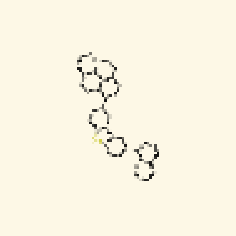 c1ccc2c(-c3ccc4sc5ccc(-c6ccc7ccc8cccc9ccc6c7c89)cc5c4c3)cccc2c1